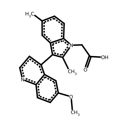 COc1ccc2nccc(-c3c(C)n(CC(=O)O)c4ccc(C)cc34)c2c1